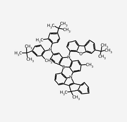 Cc1cc2c3c(c1)-n1c4c(c5cccc(c51)B3c1ccc(N(c3ccc(C(C)(C)C)cc3C)c3ccc(C(C)(C)C)cc3C)cc1N2c1cccc2c1oc1cc(C(C)(C)C)ccc12)C(C)(C)c1ccccc1-4